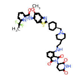 COc1cc2nc([C@H]3CC[C@H](CN4CCC(CCNc5cccc6c5C(=O)N(C5CCC(=O)NC5=O)C6=O)CC4)CC3)sc2cc1NC(=O)c1cccc(C(C)(F)F)n1